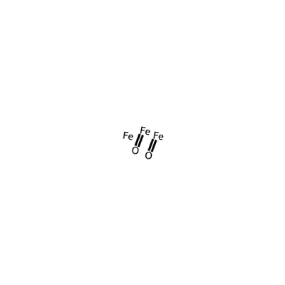 [Fe].[O]=[Fe].[O]=[Fe]